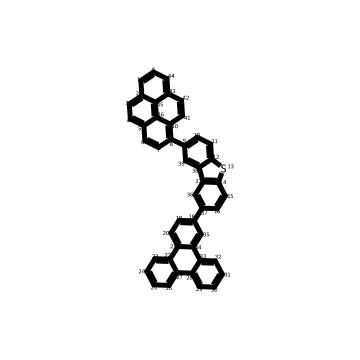 c1cc2ccc3ccc(-c4ccc5sc6ccc(-c7ccc8c9ccccc9c9ccccc9c8c7)cc6c5c4)c4ccc(c1)c2c34